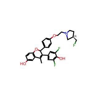 CC1=C(c2cc(F)c(O)c(F)c2)C(c2ccc(OCCN3CC[C@@H](CF)C3)cc2)Oc2ccc(O)cc21